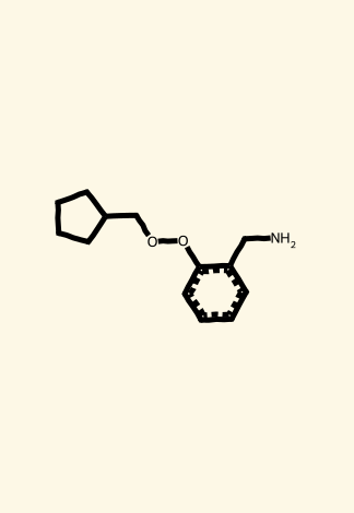 NCc1ccccc1OOCC1CCCC1